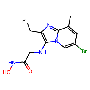 Cc1cc(Br)cn2c(NCC(=O)NO)c(CC(C)C)nc12